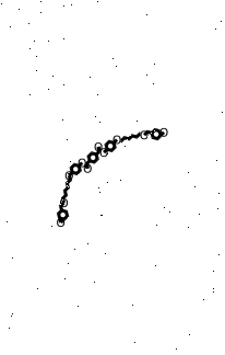 O=C(OC1CCC(OCCCCCCOCC2CCC3OC3C2)CC1)C1CCC(C(=O)OC2CCC(OCCCCCCOCC3CCC4OC4C3)CC2)CC1